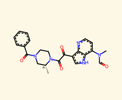 C[C@@H]1CN(C(=O)c2ccccc2)CCN1C(=O)C(=O)c1c[nH]c2c(N(C)C=O)ccnc12